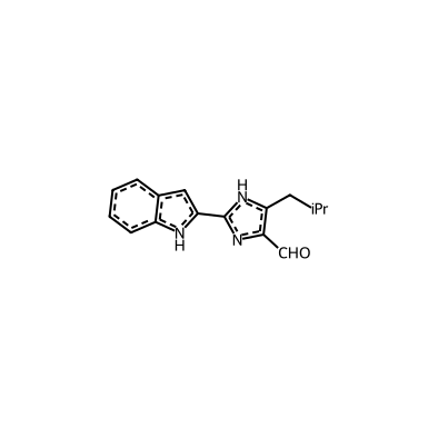 CC(C)Cc1[nH]c(-c2cc3ccccc3[nH]2)nc1C=O